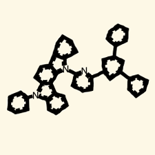 c1ccc(-c2cc(-c3ccccc3)cc(-c3cccc(-n4c5ccccc5c5ccc6c(c7ccccc7n6-c6ccccc6)c54)n3)c2)cc1